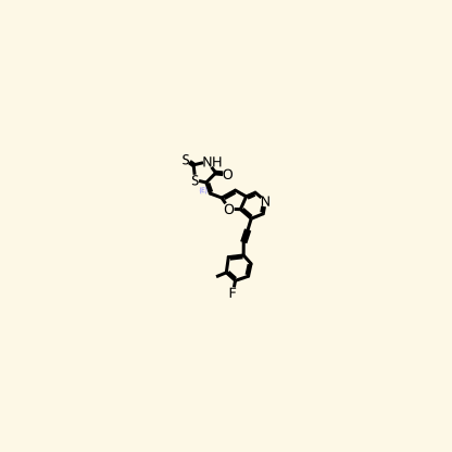 Cc1cc(C#Cc2cncc3cc(/C=C4/SC(=S)NC4=O)oc23)ccc1F